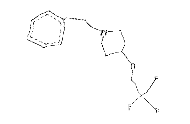 FC(F)(F)COC1CN(Cc2ccccc2)C1